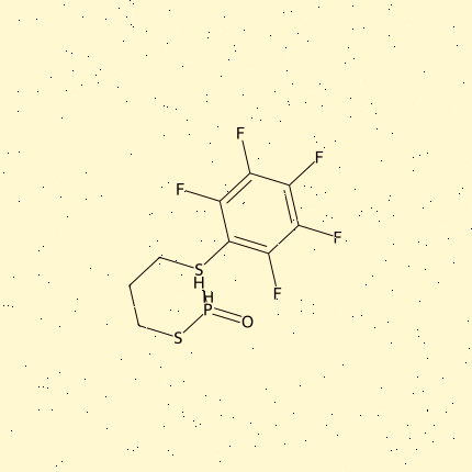 O=[PH]1SCCC[SH]1c1c(F)c(F)c(F)c(F)c1F